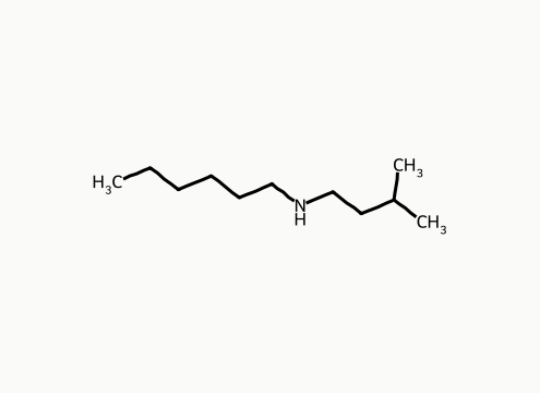 CCCCCCNCCC(C)C